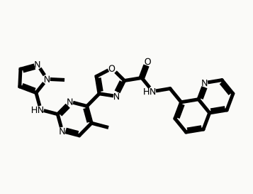 Cc1cnc(Nc2ccnn2C)nc1-c1coc(C(=O)NCc2cccc3cccnc23)n1